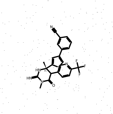 CN1C(=N)N[C@](C)(c2cc(-c3cccc(C#N)c3)cs2)C(c2ccc(C(F)(F)F)nc2)C1=O